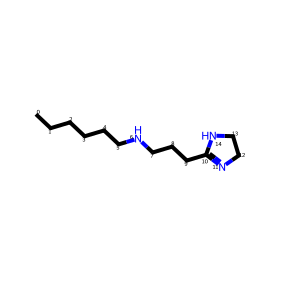 CCCCCCNCCCC1=NCCN1